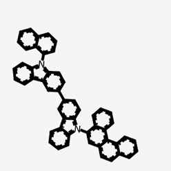 c1ccc2c(-n3c4ccccc4c4cc(-c5ccc6c(c5)c5ccccc5n6-c5cc6ccc7ccccc7c6c6ccccc56)ccc43)cccc2c1